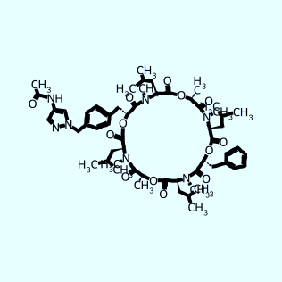 CC(=O)Nc1cnn(Cc2ccc(C[C@H]3OC(=O)[C@H](CC(C)C)N(C)C(=O)[C@@H](C)OC(=O)[C@H](CC(C)C)N(C)C(=O)[C@@H](Cc4ccccc4)OC(=O)[C@H](CC(C)C)N(C)C(=O)[C@@H](C)OC(=O)[C@H](CC(C)C)N(C)C3=O)cc2)c1